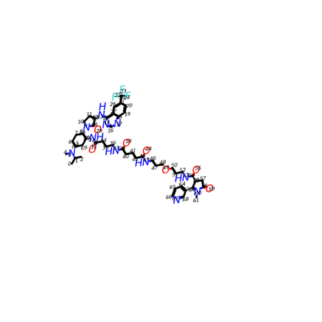 CC(C)N(C)[C@@H]1CC[C@H](N2CC[C@H](Nc3ncnc4ccc(C(F)(F)F)cc34)C2=O)[C@H](NC(=O)CCCNC(=O)CCCC(=O)NCCCOCCCNC(=O)[C@H]2CC(=O)N(C)[C@@H]2c2cccnc2)C1